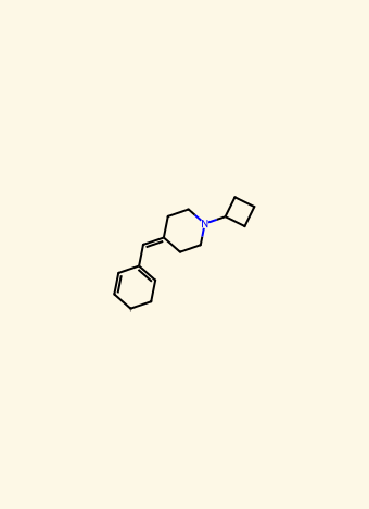 [CH]1C=CC(C=C2CCN(C3CCC3)CC2)=CC1